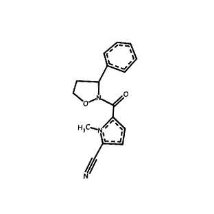 Cn1c(C#N)ccc1C(=O)N1OCCC1c1ccccc1